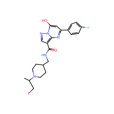 CC(CI)N1CCC(CNC(=O)c2cnn3c(O)cc(-c4ccc(F)cc4)nc23)CC1